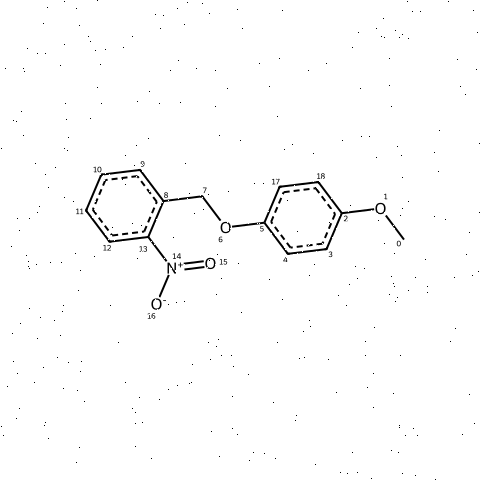 COc1ccc(OCc2ccccc2[N+](=O)[O-])cc1